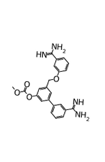 COC(=O)Oc1cc(COc2cccc(C(=N)N)c2)cc(-c2cccc(C(=N)N)c2)c1